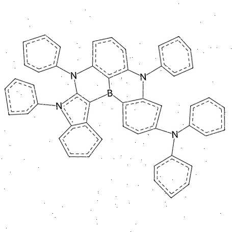 c1ccc(N(c2ccccc2)c2ccc3c(c2)N(c2ccccc2)c2cccc4c2B3c2c(n(-c3ccccc3)c3ccccc23)N4c2ccccc2)cc1